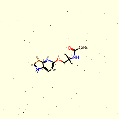 CC(C)COC(=O)NC(C)(C)COc1ccc2n[c]sc2n1